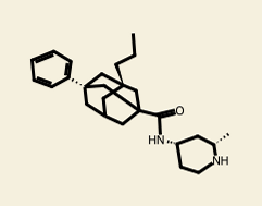 CCC[C@]12CC3CC(C(=O)N[C@H]4CCN[C@@H](C)C4)(C1)C[C@@](c1ccccc1)(C3)C2